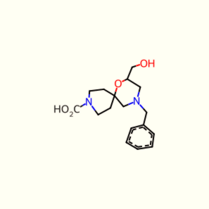 O=C(O)N1CCC2(CC1)CN(Cc1ccccc1)CC(CO)O2